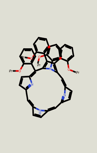 CC(C)Oc1ccccc1-c1c(-c2ccccc2OC(C)C)c2c(-c3ccccc3OC(C)C)c3nc(cc4ccc(cc5nc(cc1n2-c1ccccc1OC(C)C)C=C5)[nH]4)C=C3